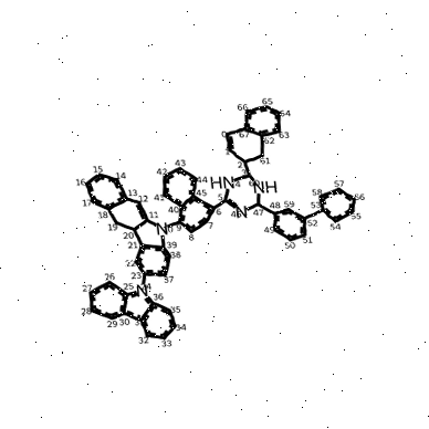 C1=CC(C2NC(c3ccc(N4C5=Cc6ccccc6CC5c5cc(-n6c7ccccc7c7ccccc76)ccc54)c4ccccc34)=NC(c3cccc(-c4ccccc4)c3)N2)Cc2ccccc21